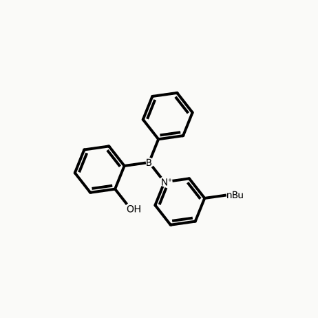 CCCCc1ccc[n+](B(c2ccccc2)c2ccccc2O)c1